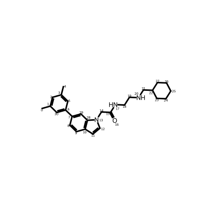 Cc1cc(C)cc(-c2ccc3ccn(CC(=O)NCCNCC4CCCCC4)c3c2)c1